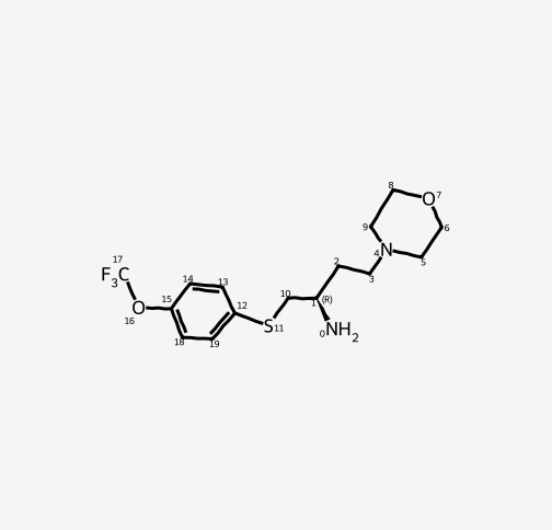 N[C@H](CCN1CCOCC1)CSc1ccc(OC(F)(F)F)cc1